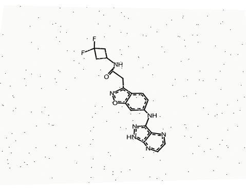 O=C(Cc1noc2cc(Nc3n[nH]c4nccnc34)ccc12)NC1CC(F)(F)C1